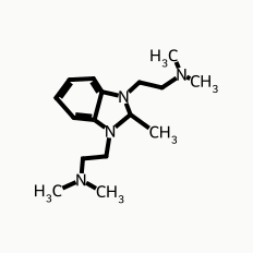 CC1N(CCN(C)C)c2ccccc2N1CCN(C)C